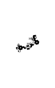 COc1cc(CCN2CCN(CC(O)COc3ccccc3-c3n[nH]c4ccsc34)CC2)cc(OC)c1OC